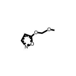 COCOc1ccno1